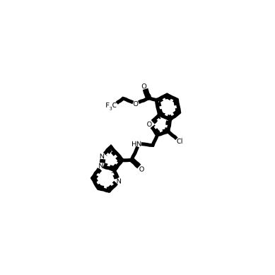 O=C(OCC(F)(F)F)c1cccc2c(Cl)c(CNC(=O)c3cnn4cccnc34)oc12